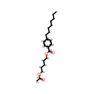 CCCCCCCCc1ccc(C(=O)OCCCCCOC(C)=O)cc1